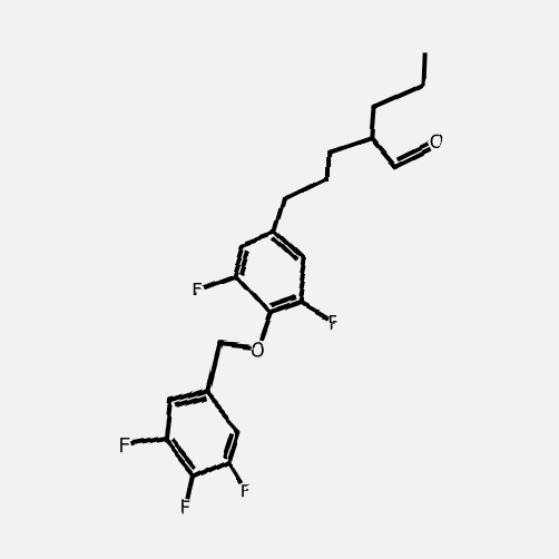 CCCC(C=O)CCCc1cc(F)c(OCc2cc(F)c(F)c(F)c2)c(F)c1